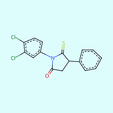 O=C1CC(c2ccccc2)C(=S)N1c1ccc(Cl)c(Cl)c1